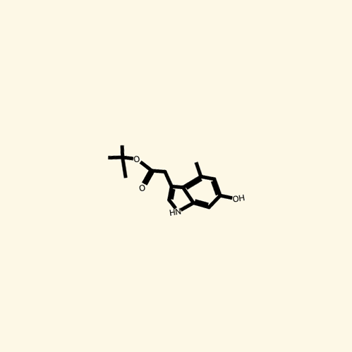 Cc1cc(O)cc2[nH]cc(CC(=O)OC(C)(C)C)c12